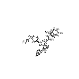 NC12CC1CN(c1nc(NCc3nc4ccccc4[nH]3)n3ncc(Br)c3n1)C2